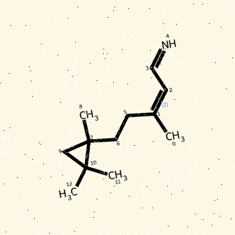 C/C(=C/C=N)CCC1(C)CC1(C)C